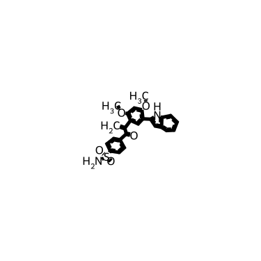 C=C(C(=O)c1ccc(S(N)(=O)=O)cc1)c1cc(-c2cc3ccccc3[nH]2)c(OC)cc1OC